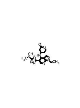 CCn1ncc2c(NC3CCOC(=O)C3)c(-c3nnc(N(C)C)o3)cnc21